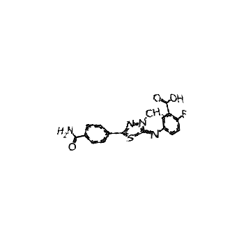 Cn1nc(-c2ccc(C(N)=O)cc2)s/c1=N/c1ccc(F)c(C(=O)O)c1